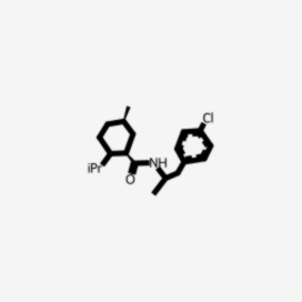 CC(Cc1ccc(Cl)cc1)NC(=O)[C@@H]1C[C@H](C)CCC1C(C)C